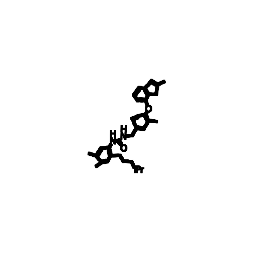 CC1=Cc2cccc(Oc3ccc(CNC(=O)Nc4cc(C)c(C)cc4CCCC(C)C)cc3C)c2C1